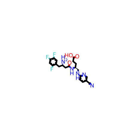 N#Cc1ccc(NC[C@H](CCC(=O)O)NC(=O)C[C@H](N)Cc2cc(F)c(F)cc2F)nc1